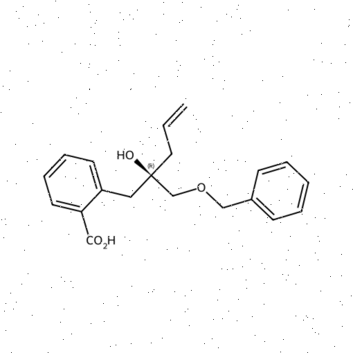 C=CC[C@](O)(COCc1ccccc1)Cc1ccccc1C(=O)O